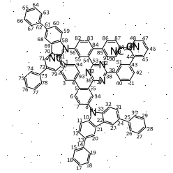 N#Cc1ccc(-c2ccc(-n3c4ccc(-c5ccccc5)cc4c4cc(-c5ccccc5)ccc43)cc2-c2nc(-c3cccc(-c4ccccc4C#N)c3)nc(-c3cc(-n4c5ccc(-c6ccccc6)cc5c5cc(-c6ccccc6)ccc54)ccc3-c3ccc(C#N)cc3)n2)cc1